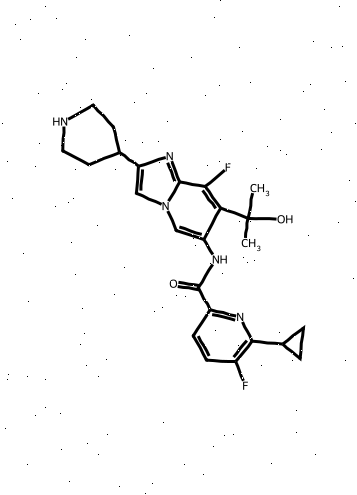 CC(C)(O)c1c(NC(=O)c2ccc(F)c(C3CC3)n2)cn2cc(C3CCNCC3)nc2c1F